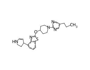 CCCc1cnc(N2CCC(Oc3nc4c(C5C=CNCC5)cccc4s3)CC2)nc1